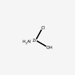 [AlH3].[OH][Zr][Cl]